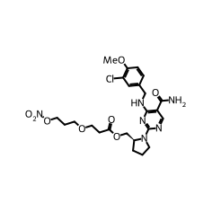 COc1ccc(CNc2nc(N3CCC[C@H]3COC(=O)CCOCCCO[N+](=O)[O-])ncc2C(N)=O)cc1Cl